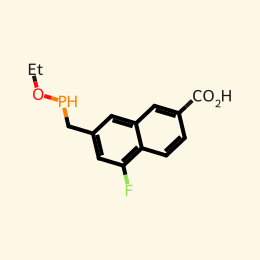 CCOPCc1cc(F)c2ccc(C(=O)O)cc2c1